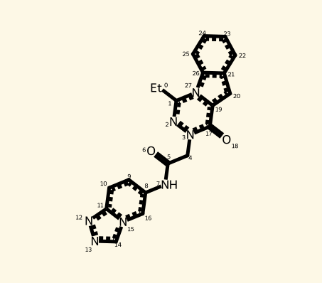 CCc1nn(CC(=O)Nc2ccc3nncn3c2)c(=O)c2cc3ccccc3n12